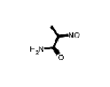 CC(N=O)C(N)=O